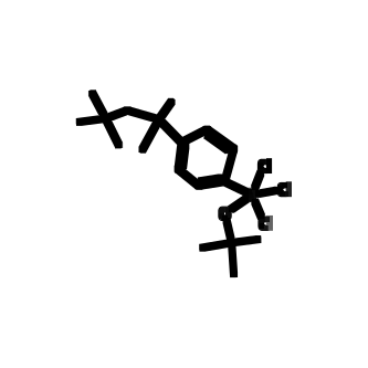 CC(C)(C)CC(C)(C)c1cc[c]([V]([Cl])([Cl])([Cl])[O]C(C)(C)C)cc1